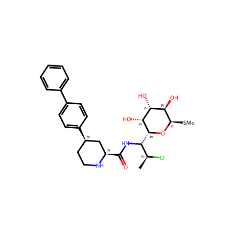 CS[C@H]1O[C@H](C(NC(=O)[C@@H]2C[C@H](c3ccc(-c4ccccc4)cc3)CCN2)[C@H](C)Cl)[C@H](O)[C@H](O)[C@H]1O